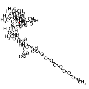 CC[C@H](C)[C@H](NC(=O)C(C)(C)N(C)C)C(=O)N(C)[C@H](C[C@@H](OC(=O)[C@H](C)NC(=O)[C@H](C)NC(=O)CCCNC(=O)[C@H](CCCCNC(=O)COCCOCCOCCOCCOCCOCCOCCOCCOCCOC)NC(=O)CCCN1C(=O)C=CC1=O)c1nc(C(=O)N[C@@H](Cc2ccccc2)C[C@H](C)C(=O)O)cs1)C(C)C